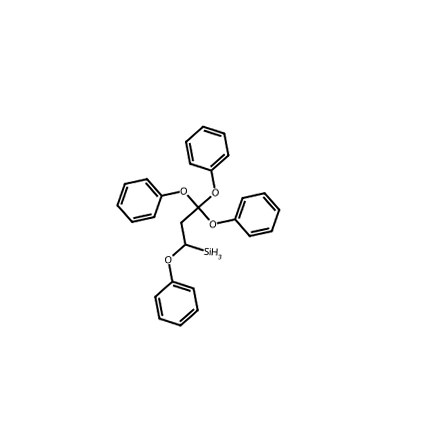 [SiH3]C(CC(Oc1ccccc1)(Oc1ccccc1)Oc1ccccc1)Oc1ccccc1